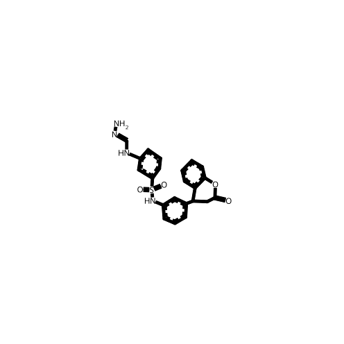 NN=CNc1cccc(S(=O)(=O)Nc2cccc(C3CC(=O)Oc4ccccc43)c2)c1